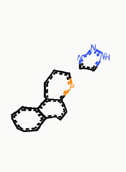 c1c[nH]nn1.c1ccc2c(c1)ccc1pcccc12